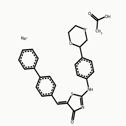 CC(=O)O.O=C1N=C(Nc2ccc(C3C[N-]CCO3)cc2)SC1=Cc1ccc(-c2ccccc2)cc1.[Na+]